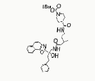 CC(CCNC(=O)C1CCN(C(=O)OC(C)(C)C)CC1)CC(=O)NCC(O)(CCc1ccccc1)c1nc2ccc3ccccc3c2o1